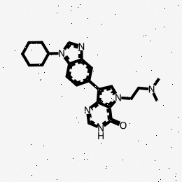 CN(C)CCn1cc(-c2ccc3c(c2)ncn3C2CCCCC2)c2nc[nH]c(=O)c21